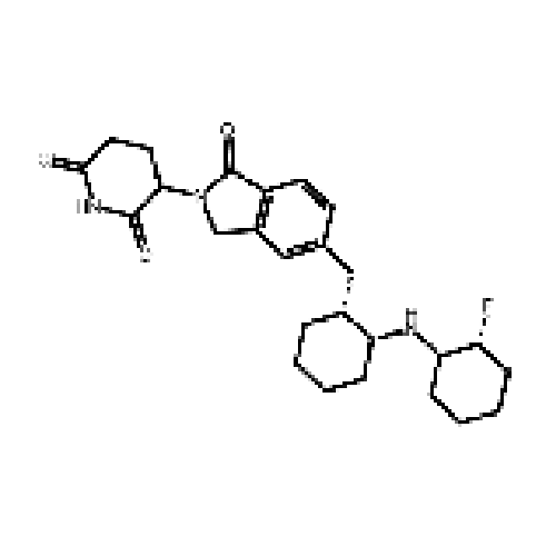 O=C1CCC(N2Cc3cc(C[C@H]4CCCC[C@@H]4NC4CCCC[C@H]4F)ccc3C2=O)C(=O)N1